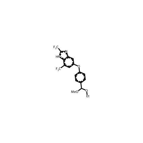 CCOC(OC)c1ccc(Oc2cc(C(F)(F)F)c3[nH]c(C(F)(F)F)nc3c2)cc1